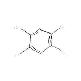 [C-]#[N+]c1cc(Br)c(C#N)cc1Br